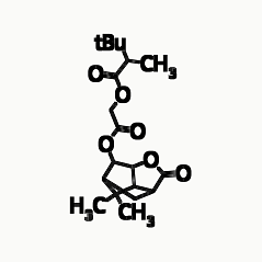 CC(C(=O)OCC(=O)OC1C2OC(=O)C3CC1C(C)(C)C32)C(C)(C)C